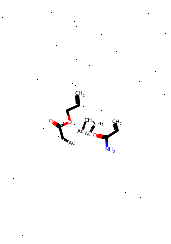 C=CC(N)=O.C=CCOC(=O)CC(C)=O.CC(C)=O.CC(C)=O